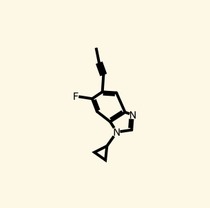 CC#Cc1cc2ncn(C3CC3)c2cc1F